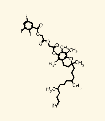 Cc1c(C)c2c(c(C)c1OC(=O)COC(=O)COC(=O)c1cc(I)cc(I)c1I)CCC(C)(CCCC(C)CCCC(C)CCCC(C)C)O2